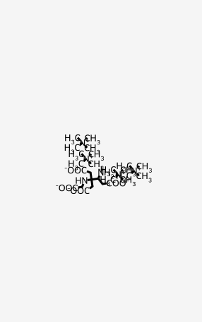 C[N+](C)(C)C.C[N+](C)(C)C.C[N+](C)(C)C.C[N+](C)(C)C.NC(CC(=O)[O-])C(CC(=O)[O-])(CC(=O)[O-])NCC(=O)[O-]